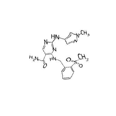 Cn1cc(Nc2ncc(C(N)=O)c(NCc3ccccc3S(C)(=O)=O)n2)cn1